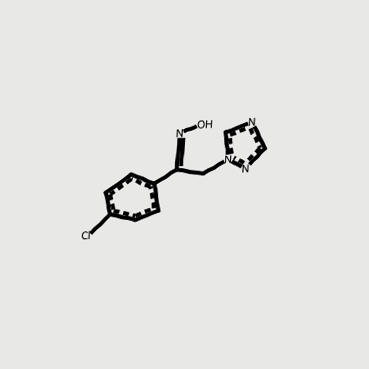 ON=C(Cn1cncn1)c1ccc(Cl)cc1